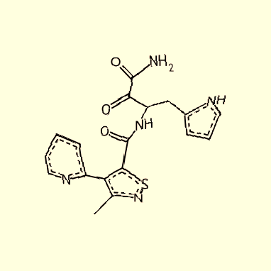 Cc1nsc(C(=O)NC(Cc2ccc[nH]2)C(=O)C(N)=O)c1-c1ccccn1